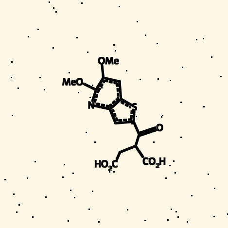 COc1cc2sc(C(=O)C(CC(=O)O)C(=O)O)cc2nc1OC